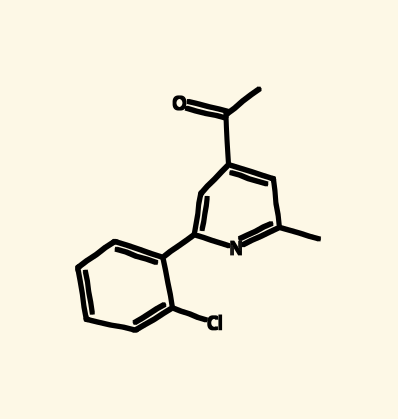 CC(=O)c1cc(C)nc(-c2ccccc2Cl)c1